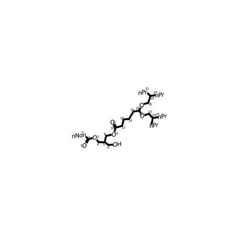 CCCCCCCCCC(=O)OCC(CO)COC(=O)CCCCC(OCC(CCC)CCC)OCC(CCC)CCC